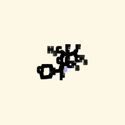 CC(O/C(=C(/F)N1CCOCC1)C(F)(F)F)C(F)(F)C(F)C(F)(F)F